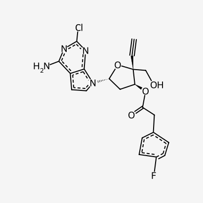 C#C[C@]1(CO)O[C@@H](n2ccc3c(N)nc(Cl)nc32)C[C@@H]1OC(=O)Cc1ccc(F)cc1